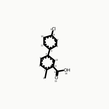 Cc1ccc(-c2ccc(Cl)cc2)cc1C(=O)O